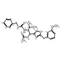 COc1cccc(Cc2nc(C(OC(C)=O)[C@@H](NC(=O)OCc3ccccc3)C(C)C)no2)c1